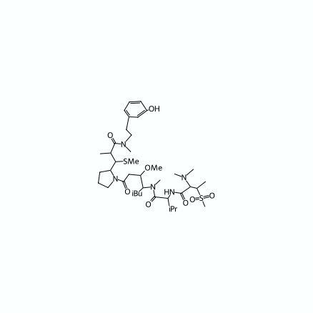 CCC(C)C(C(CC(=O)N1CCCC1C(SC)C(C)C(=O)N(C)CCc1cccc(O)c1)OC)N(C)C(=O)C(NC(=O)C(C(C)S(C)(=O)=O)N(C)C)C(C)C